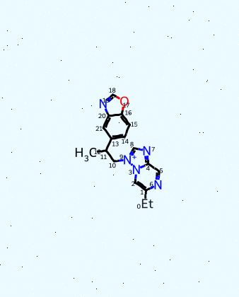 CCc1cn2c(cn1)nc[n+]2CC(C)c1ccc2ocnc2c1